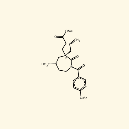 C=CC[C@]1(CCC(=O)OC)CN(C(=O)O)CCN(C(=O)c2ccc(OC)cc2)C1=O